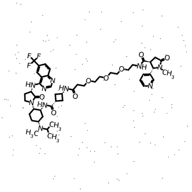 CC(C)N(C)[C@@H]1CC[C@H](N2CC[C@H](Nc3ncnc4ccc(C(F)(F)F)cc34)C2=O)[C@H](NC(=O)[C@H]2C[C@@H](NC(=O)CCOCCOCCOCCNC(=O)[C@H]3CC(=O)N(C)[C@@H]3c3cccnc3)C2)C1